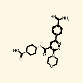 N=C(N)c1ccc(-c2cc(C(=O)N[C@H]3CC[C@H](C(=O)O)CC3)c(N3CCOCC3)nn2)cc1